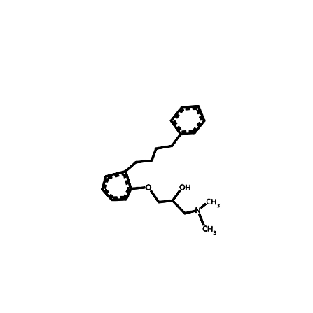 CN(C)CC(O)COc1ccccc1CCCCc1ccccc1